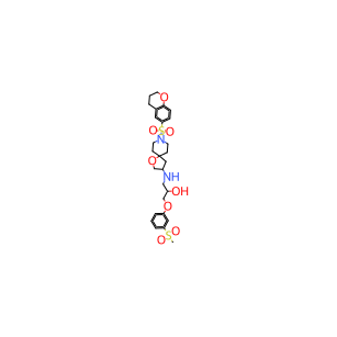 CS(=O)(=O)c1cccc(OCC(O)CNC2COC3(CCN(S(=O)(=O)c4ccc5c(c4)CCCO5)CC3)C2)c1